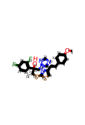 COc1ccc(C=Cc2csc(S[C@H](C)C(O)(Cn3cncn3)c3ccc(F)cc3F)n2)cc1